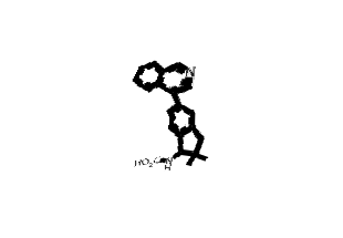 CC1(C)Cc2cc(-c3cncc4ccccc34)ccc2C1NC(=O)O